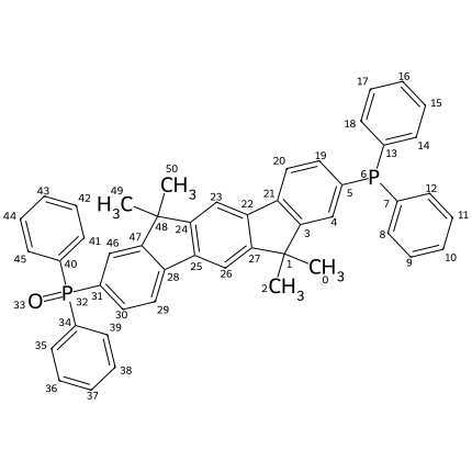 CC1(C)c2cc(P(c3ccccc3)c3ccccc3)ccc2-c2cc3c(cc21)-c1ccc(P(=O)(c2ccccc2)c2ccccc2)cc1C3(C)C